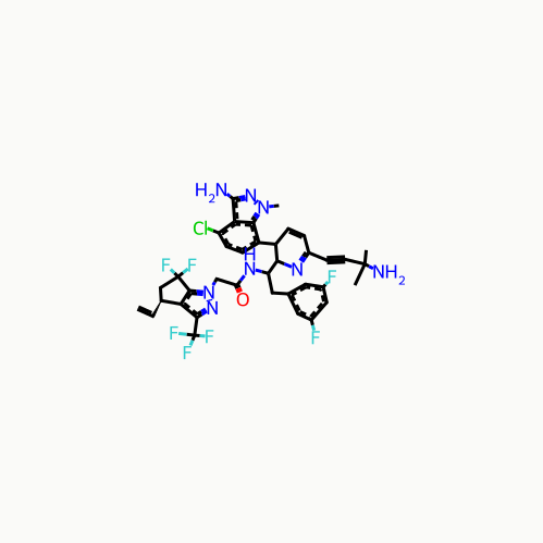 C=C[C@H]1CC(F)(F)c2c1c(C(F)(F)F)nn2CC(=O)NC(Cc1cc(F)cc(F)c1)C1N=C(C#CC(C)(C)N)C=CC1c1ccc(Cl)c2c(N)nn(C)c12